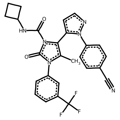 Cc1c(-c2ccnn2-c2ccc(C#N)cc2)n(C(=O)NC2CCC2)c(=O)n1-c1cccc(C(F)(F)F)c1